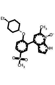 CC[C@H]1CC[C@H](Oc2ccc(S(C)(=O)=O)cc2-c2cc(C)[n+]([O-])c3[nH]ccc23)CC1